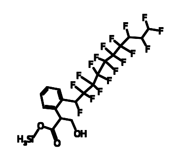 O=C(O[SiH3])C(CO)c1ccccc1C(F)C(F)(F)C(F)(F)C(F)(F)C(F)(F)C(F)(F)C(F)(F)C(F)C(F)C(F)F